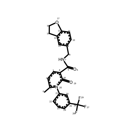 Cc1ccc(C(=O)NCc2ccc3c(c2)CCO3)c(=O)n1-c1cccc(C(F)(F)F)c1